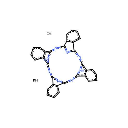 [Co].[KH].c1ccc2c(c1)-c1nc-2nc2[nH]c(nc3nc(nc4[nH]c(n1)c1ccccc41)-c1ccccc1-3)c1ccccc21